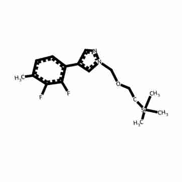 Cc1ccc(-c2cnn(COCC[Si](C)(C)C)c2)c(F)c1F